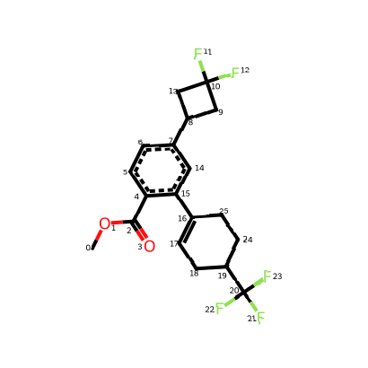 COC(=O)c1ccc(C2CC(F)(F)C2)cc1C1=CCC(C(F)(F)F)CC1